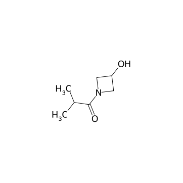 CC(C)C(=O)N1CC(O)C1